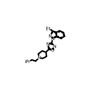 CCc1nn(-c2noc(C3CCN(CCC(C)C)CC3)n2)c2ccccc12